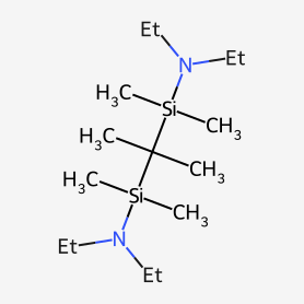 CCN(CC)[Si](C)(C)C(C)(C)[Si](C)(C)N(CC)CC